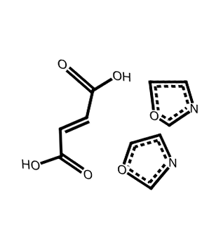 O=C(O)/C=C/C(=O)O.c1cocn1.c1cocn1